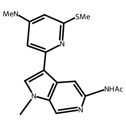 CNc1cc(SC)nc(-c2cn(C)c3cnc(NC(C)=O)cc23)c1